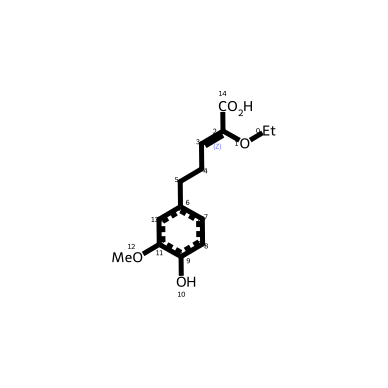 CCO/C(=C\CCc1ccc(O)c(OC)c1)C(=O)O